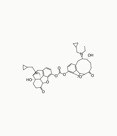 CCN(CC1CC1)[C@@H]1Cc2ccc(OC(=O)Oc3ccc4c5c3OC3C(=O)CC[C@@]6(O)C(C4)N(CC4CC4)CC[C@]536)c3c2C(C)C(O3)C(=O)CC[C@H]1O